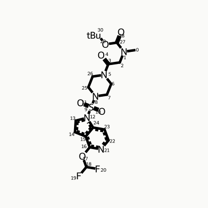 CN(CC(=O)N1CCN(S(=O)(=O)n2ccc3c(OC(F)F)nccc32)CC1)C(=O)OC(C)(C)C